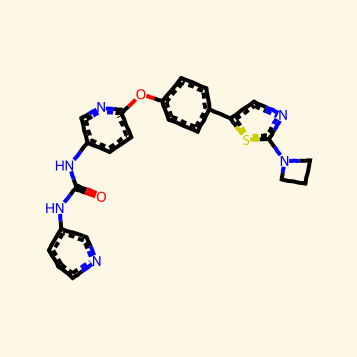 O=C(Nc1cccnc1)Nc1ccc(Oc2ccc(-c3cnc(N4CCC4)s3)cc2)nc1